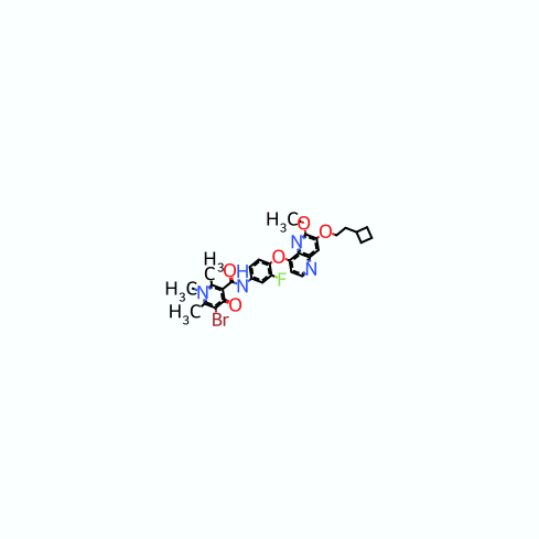 COc1nc2c(Oc3ccc(NC(=O)c4c(C)n(C)c(C)c(Br)c4=O)cc3F)ccnc2cc1OCCC1CCC1